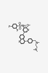 COc1ncc(-c2ccc3nccc(-c4ccc(CN(C)CCN(C)C)cc4)c3c2)cc1NS(=O)(=O)c1ccc(F)cc1F